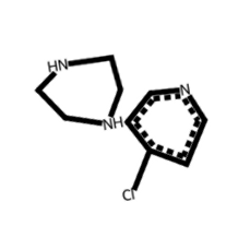 C1CNCCN1.Clc1ccncc1